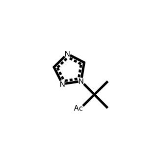 CC(=O)C(C)(C)n1cncn1